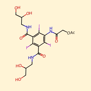 CC(=O)OCC(=O)Nc1c(I)c(C(=O)NCC(O)CO)c(I)c(C(=O)NCC(O)CO)c1I